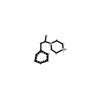 C[C](Cc1ccccc1)N1CCNCC1